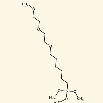 COCCOCCOCCSCCC[Si](OC)(OC)OC